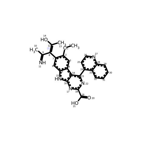 COc1cc2c(cc1/C(C(C)=N)=C(\C)O)[nH]c1nc(C(=O)O)nc(-c3ccnc4ccccc34)c12